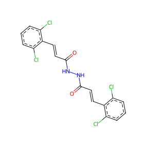 O=C(/C=C/c1c(Cl)cccc1Cl)NNC(=O)/C=C/c1c(Cl)cccc1Cl